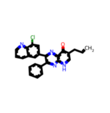 C=CCc1c[nH]c2nc(-c3ccccc3)c(-c3cc(Cl)c4ncccc4c3)nc2c1=O